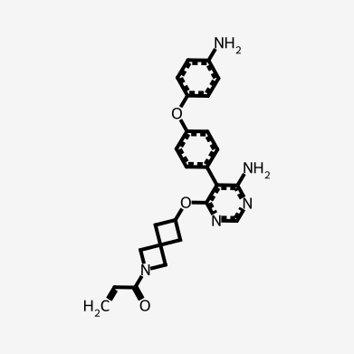 C=CC(=O)N1CC2(CC(Oc3ncnc(N)c3-c3ccc(Oc4ccc(N)cc4)cc3)C2)C1